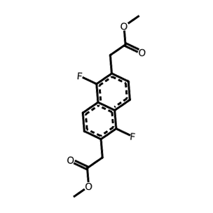 COC(=O)Cc1ccc2c(F)c(CC(=O)OC)ccc2c1F